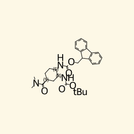 CN(C)C(=O)[C@H]1CC[C@H](NC(=O)OCC2c3ccccc3-c3ccccc32)[C@H](NC(=O)OC(C)(C)C)C1